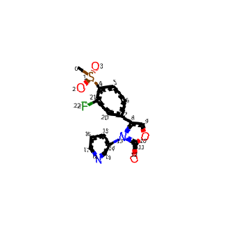 CS(=O)(=O)c1ccc(-c2coc(=O)n2-c2cccnc2)cc1F